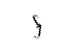 CCCCCCCCc1csn(CCCCCCCC)c1=O